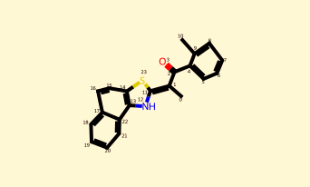 C/C(C(=O)c1ccccc1C)=C1\Nc2c(ccc3ccccc23)S1